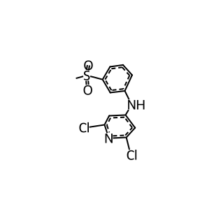 CS(=O)(=O)c1cccc(Nc2cc(Cl)nc(Cl)c2)c1